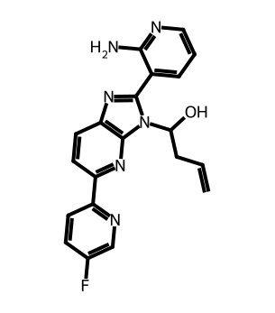 C=CCC(O)n1c(-c2cccnc2N)nc2ccc(-c3ccc(F)cn3)nc21